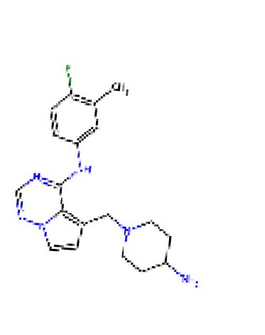 Cc1cc(Nc2ncnn3ccc(CN4CCC(N)CC4)c23)ccc1F